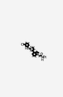 CCNC(=O)Cn1ccc2c(-c3ccnc(Nc4cccc(Cl)c4)n3)cccc21